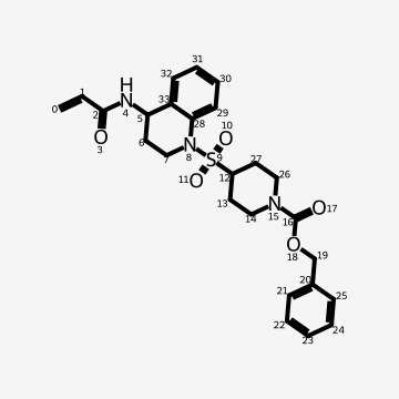 C=CC(=O)NC1CCN(S(=O)(=O)C2CCN(C(=O)OCc3ccccc3)CC2)c2ccccc21